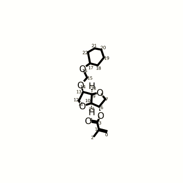 C=C(C)C(=O)O[C@H]1CO[C@H]2[C@@H]1OC[C@H]2OCOC1CCCCC1